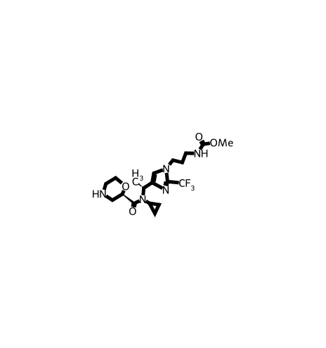 COC(=O)NCCCn1cc([C@@H](C)N(C(=O)[C@H]2CNCCO2)C2CC2)nc1C(F)(F)F